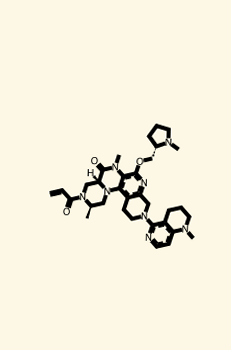 C=CC(=O)N1C[C@@H]2C(=O)N(C)c3c(OC[C@@H]4CCCN4C)nc4c(c3N2C[C@H]1C)CCN(c1nccc2c1CCCN2C)C4